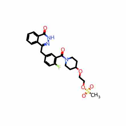 CS(=O)(=O)OCCOC1CCN(C(=O)c2cc(Cc3n[nH]c(=O)c4ccccc34)ccc2F)CC1